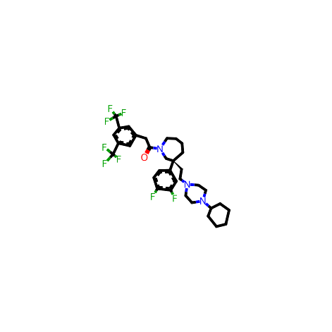 O=C(Cc1cc(C(F)(F)F)cc(C(F)(F)F)c1)N1CCCC[C@](CCN2CCN(C3CCCCC3)CC2)(c2ccc(F)c(F)c2)C1